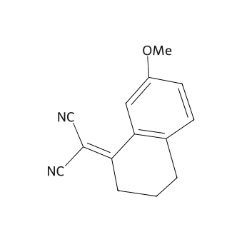 COc1ccc2c(c1)C(=C(C#N)C#N)CCC2